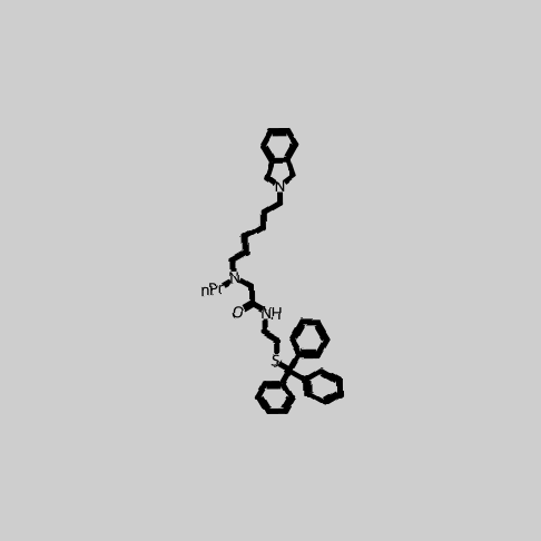 CCCN(CCCCCCN1Cc2ccccc2C1)CC(=O)NCCSC(c1ccccc1)(c1ccccc1)c1ccccc1